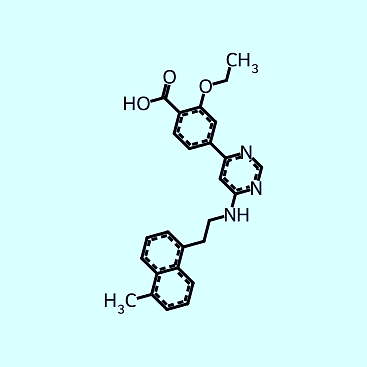 CCOc1cc(-c2cc(NCCc3cccc4c(C)cccc34)ncn2)ccc1C(=O)O